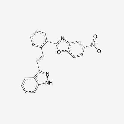 O=[N+]([O-])c1ccc2oc(-c3ccccc3C=Cc3n[nH]c4ccccc34)nc2c1